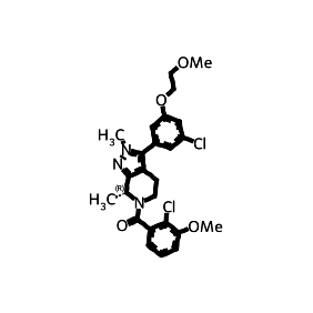 COCCOc1cc(Cl)cc(-c2c3c(nn2C)[C@@H](C)N(C(=O)c2cccc(OC)c2Cl)CC3)c1